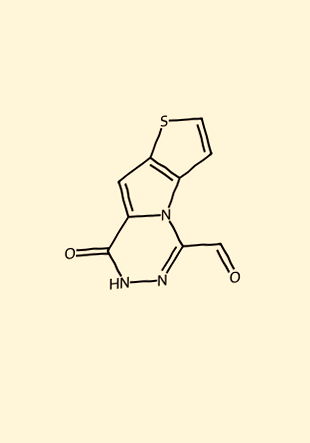 O=Cc1n[nH]c(=O)c2cc3sccc3n12